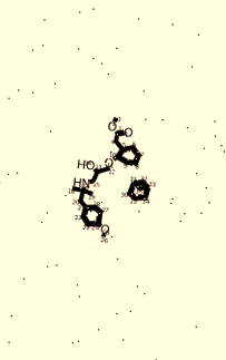 COC(=O)Cc1ccccc1OCC(O)CNC(C)(C)Cc1ccc(OC)cc1.c1cc2cc(c1)C2